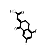 O=C(O)C=C1CCc2c(F)cc(F)cc2C1=O